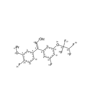 CC(C)Oc1cc(C(=NO)c2cc(F)cc(OC(F)(F)C(F)F)c2)ccc1F